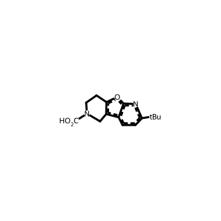 CC(C)(C)c1ccc2c3c(oc2n1)CCN(C(=O)O)C3